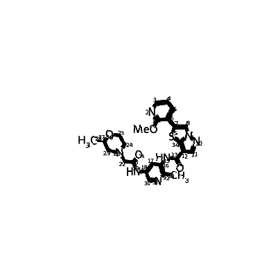 COc1ncccc1-c1cn2ncc(C(=O)Nc3cc(NC(=O)CN4CCO[C@H](C)C4)cnc3C)c2s1